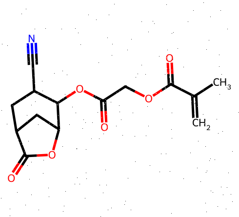 C=C(C)C(=O)OCC(=O)OC1C(C#N)CC2CC1OC2=O